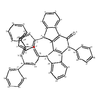 O=c1c2c3ccccc3n(-c3ccccc3)c2c2c(c3ccccc3n2-c2nc(-c3ccccc3)nc(-c3ccccc3)n2)n1-c1ccccc1